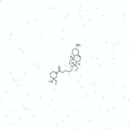 CC[C@@]1(OC)CCCN(C(=O)CC[C@@H](C)[C@H]2CC[C@H]3[C@@H]4CC=C5C[C@@H](O)CC[C@]5(C)[C@H]4CC[C@]23C)C1